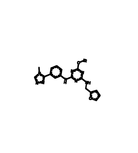 CCOc1nc(NCc2ccco2)nc(Nc2cccc(-c3nncn3C)c2)n1